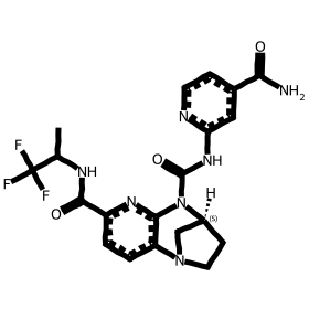 CC(NC(=O)c1ccc2c(n1)N(C(=O)Nc1cc(C(N)=O)ccn1)[C@H]1CCN2C1)C(F)(F)F